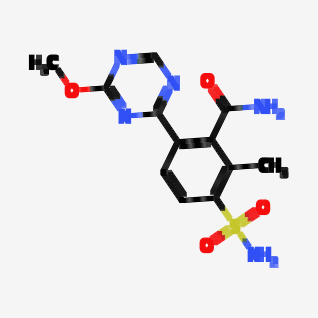 COc1ncnc(-c2ccc(S(N)(=O)=O)c(C)c2C(N)=O)n1